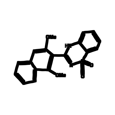 COc1cc2ccccc2c(OC)c1C1=NS(=O)(=O)c2ccccc2N1